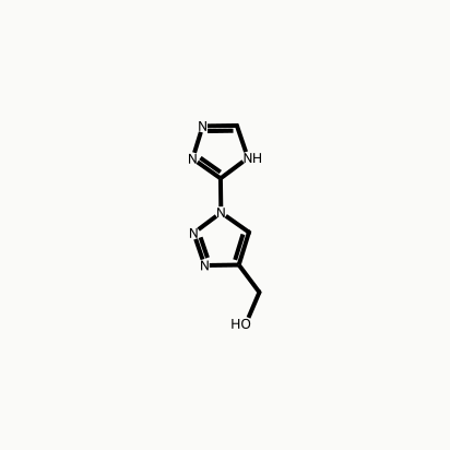 OCc1cn(-c2nnc[nH]2)nn1